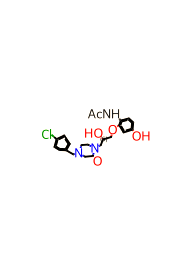 CC(=O)Nc1ccc(O)cc1OC[C@@H](O)CN1CCN(Cc2ccc(Cl)cc2)CC1=O